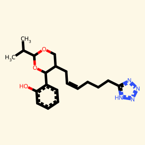 CC(C)C1OCC(C/C=C\CCCc2nnn[nH]2)C(c2ccccc2O)O1